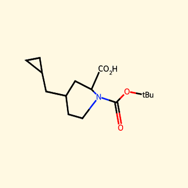 CC(C)(C)OC(=O)N1CCC(CC2CC2)CC1C(=O)O